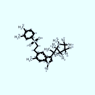 [2H]n1cc(C(C)(C)[C@]2(C)N(C)C([2H])([2H])C([2H])([2H])C2(C)C)c2cc(CCS(=O)(=O)c3ccc(C)c(C)c3)c(C)cc21